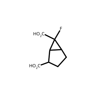 O=C(O)C1CCC2C1C2(F)C(=O)O